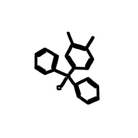 Cc1ccc([Si](Cl)(c2ccccc2)c2ccccc2)cc1C